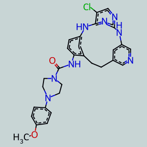 COc1ccc(N2CCN(C(=O)Nc3ccc4cc3CCc3cncc(c3)Nc3ncc(Cl)c(n3)N4)CC2)cc1